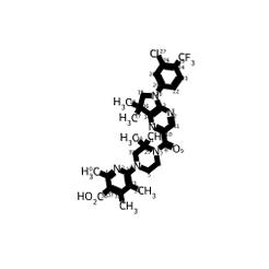 Cc1nc(N2CCN(C(=O)c3cnc4c(n3)C(C)(C)CN4c3ccc(C(F)(F)F)c(Cl)c3)C(C)(C)C2)c(C)c(C)c1C(=O)O